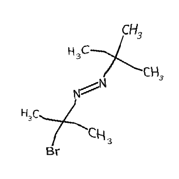 CC(C)(C)N=NC(C)(C)Br